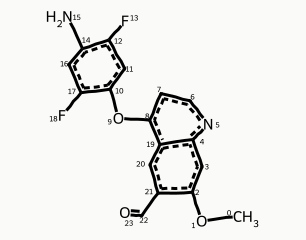 COc1cc2nccc(Oc3cc(F)c(N)cc3F)c2cc1C=O